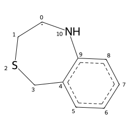 [CH]1CSCc2ccccc2N1